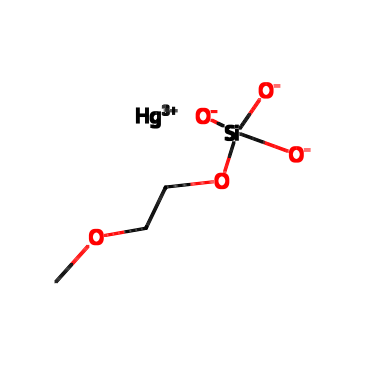 COCCO[Si]([O-])([O-])[O-].[Hg+3]